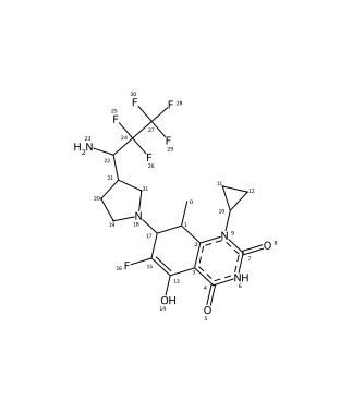 CC1c2c(c(=O)[nH]c(=O)n2C2CC2)C(O)=C(F)C1N1CCC(C(N)C(F)(F)C(F)(F)F)C1